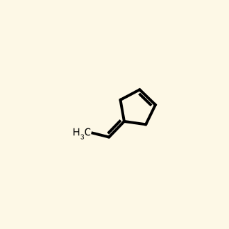 CC=C1CC=CC1